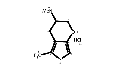 CNC1COc2csc(C(F)(F)F)c2C1.Cl